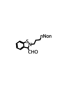 CCCCCCCCCCCCN1Sc2ccccc2C1C=O